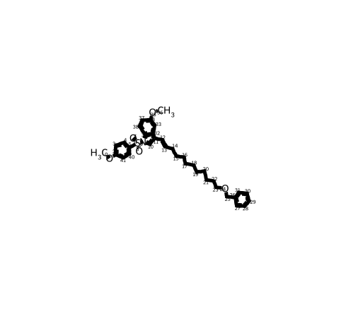 COc1ccc(S(=O)(=O)n2cc(C=CCCCCCCCCCCOCc3ccccc3)c3cc(OC)ccc32)cc1